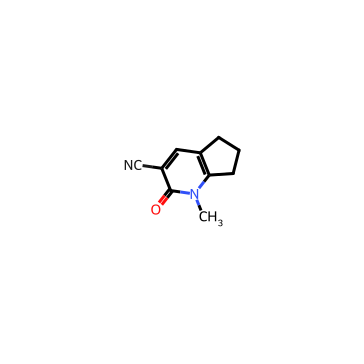 Cn1c2c(cc(C#N)c1=O)CCC2